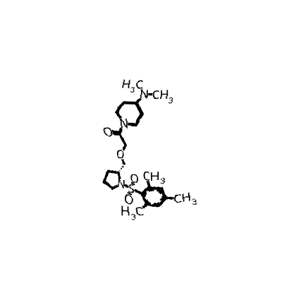 Cc1cc(C)c(S(=O)(=O)N2CCC[C@@H]2COCC(=O)N2CCC(N(C)C)CC2)c(C)c1